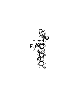 C[C@H]1CC[C@@H](Oc2cccc(Sc3ccc(/C=C/C(=O)N4CCOCC4)c(C(F)(F)F)c3C(F)(F)F)c2)CC1